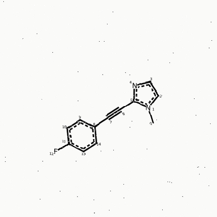 Cn1ccnc1C#Cc1ccc(F)cc1